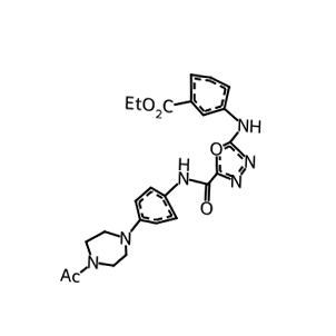 CCOC(=O)c1cccc(Nc2nnc(C(=O)Nc3ccc(N4CCN(C(C)=O)CC4)cc3)o2)c1